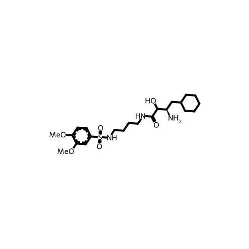 COc1ccc(S(=O)(=O)NCCCCNC(=O)C(O)[C@H](N)CC2CCCCC2)cc1OC